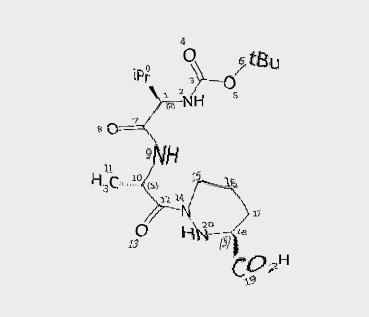 CC(C)[C@@H](NC(=O)OC(C)(C)C)C(=O)N[C@@H](C)C(=O)N1CCC[C@@H](C(=O)O)N1